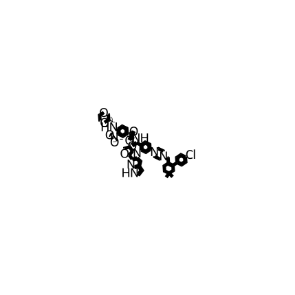 CC1(C)CCC(CN2CCN(c3ccc(C(=O)NS(=O)(=O)c4ccc(NC[C@H]5COCCO5)c([N+](=O)[O-])c4)c(N4c5cc6cc[nH]c6nc5C5OCCC54)c3)CC2)=C(c2ccc(Cl)cc2)C1